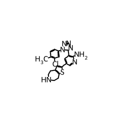 Cc1ccc(-n2nnnc2-c2cc(-c3cc4c(s3)CCNCC4)cnc2N)cc1Cl